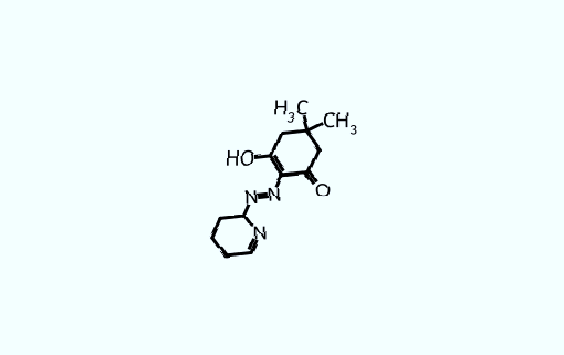 CC1(C)CC(=O)C(N=NC2CCCC=N2)=C(O)C1